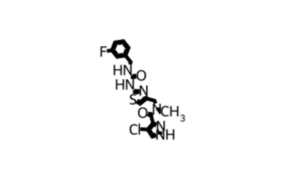 CN(Cc1csc(NC(=O)NCc2cccc(F)c2)n1)C(=O)c1n[nH]cc1Cl